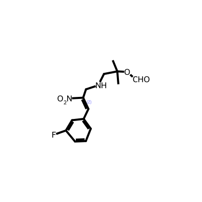 CC(C)(CNC/C(=C/c1cccc(F)c1)[N+](=O)[O-])OC=O